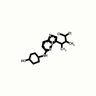 CCC(Cl)C(C)C(C)c1cnc2ccc(NC3CCC(O)CC3)nn12